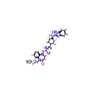 O=C(O)CN1C(=O)CCN(CC(=O)NCC2CCC(Nc3nc4ccccc4[nH]3)CC2)c2ccccc21